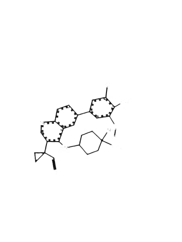 COc1cc(-c2ccc3ncc(C4(C=O)CC4)c(NC4CCC(C)(N)CC4)c3c2)cc(Cl)c1O